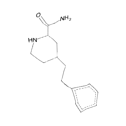 NC(=O)C1CC(CCc2ccccc2)CCN1